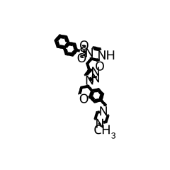 CN1CCN(Cc2ccc3c(c2)OCCC3n2cc(CC3C(=O)NC=CN3S(=O)(=O)c3ccc4ccccc4c3)nn2)CC1